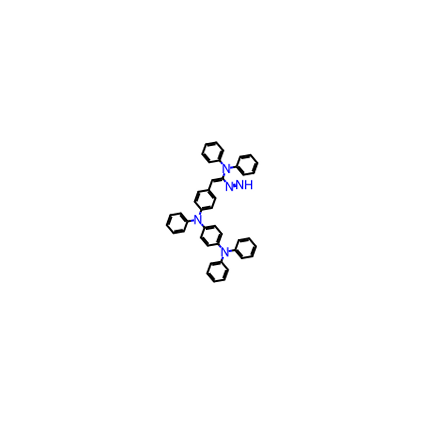 N=NC(=Cc1ccc(N(c2ccccc2)c2ccc(N(c3ccccc3)c3ccccc3)cc2)cc1)N(c1ccccc1)c1ccccc1